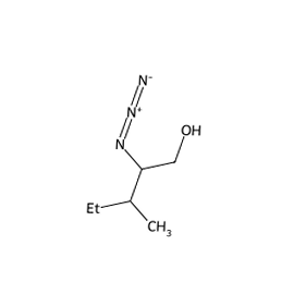 CCC(C)C(CO)N=[N+]=[N-]